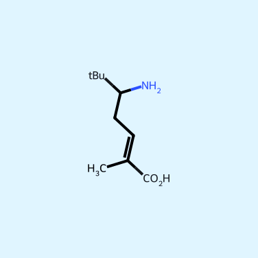 CC(=CCC(N)C(C)(C)C)C(=O)O